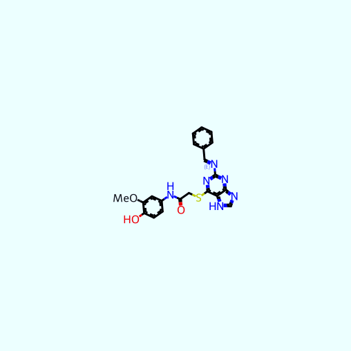 COc1cc(NC(=O)CSc2nc(/N=C/c3ccccc3)nc3nc[nH]c23)ccc1O